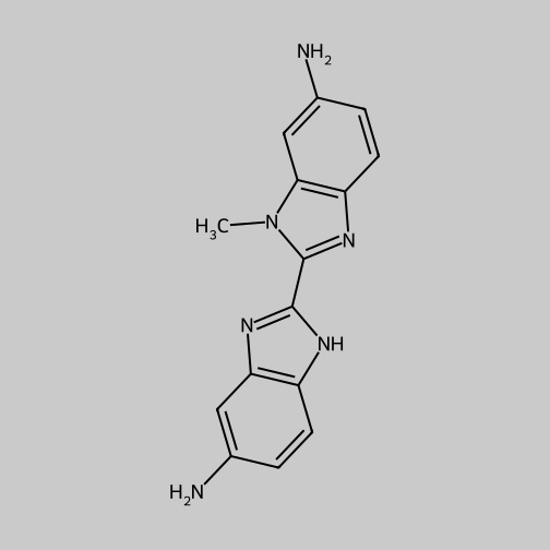 Cn1c(-c2nc3cc(N)ccc3[nH]2)nc2ccc(N)cc21